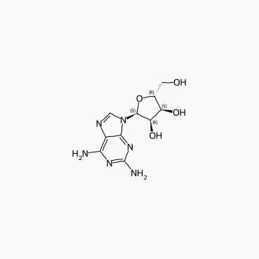 Nc1nc(N)c2ncn([C@H]3O[C@H](CO)[C@@H](O)[C@H]3O)c2n1